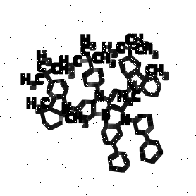 CC(C)(C)c1ccc(N2c3cc(N4c5ccc(C(C)(C)C)cc5C5(C)CCCCC45C)ccc3B3c4ccc(-c5ccccc5)cc4N(c4cccc(-c5ccccc5)c4)c4cc(N5c6ccc(C(C)(C)C)cc6C6(C)CCCCC56C)cc2c43)cc1